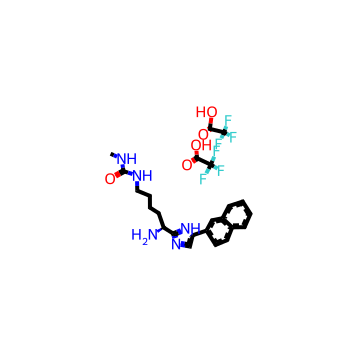 CNC(=O)NCCCC[C@H](N)c1ncc(-c2ccc3ccccc3c2)[nH]1.O=C(O)C(F)(F)F.O=C(O)C(F)(F)F